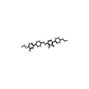 CCCC1CC=C(c2ccc(CCC3CCC(C4=CCC(OCC)C(F)=C4)CC3)c(F)c2F)CC1